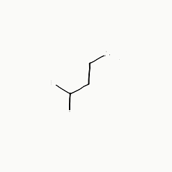 CC(F)CCN